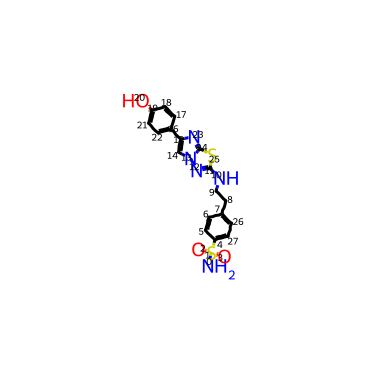 NS(=O)(=O)c1ccc(CCNc2nn3cc(-c4ccc(O)cc4)nc3s2)cc1